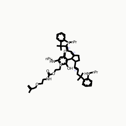 C=C(C)COCCNC(=O)OCCn1c(NCCC)cc(=O)c(C2/C(=C\C=C3/N(CCC)c4ccccc4C3(C)C)CCC2/C=C/CC(C)(C)c2ccccc2NCCC)c1O